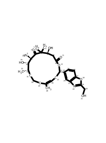 CCC[C@H]1C(=O)C(C)(C)[C@@H](O)CC(=O)O[C@H](c2ccc3oc(CO)nc3c2)CC=C(C)CCC[C@H](C)[C@@H]1O